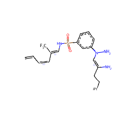 C=C/C=C\C(=C\NS(=O)(=O)c1cccc(N(N)/C=C(\N)CCC(C)C)c1)C(F)(F)F